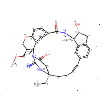 CC[C@]12CC/C=C\c3ccc4c(c3)[C@@H](NC(=O)c3ccc5c(c3)[C@@H]([C@@H](COC)CO5)N(C(=N)N1)C(=O)C2)[C@H](O)C4